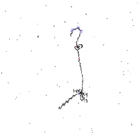 CCC/C=C\C/C=C\C/C=C\CCCCCCCC(=O)OCCCCCCCCCCCCCCCCCCCCCCCCCCCCCC(=O)N[C@@H](CO)[C@H](O)/C=C/CCCCCCCCCCCCC